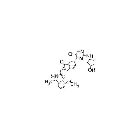 COc1cccc([C@@H](C)NC(=O)CN2Cc3ccc(-c4nc(N[C@@H]5CC[C@@H](O)C5)ncc4Cl)cc3C2=O)c1